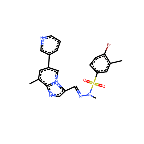 Cc1cc(S(=O)(=O)N(C)/N=C/c2cnc3c(C)cc(-c4cccnc4)cn23)ccc1Br